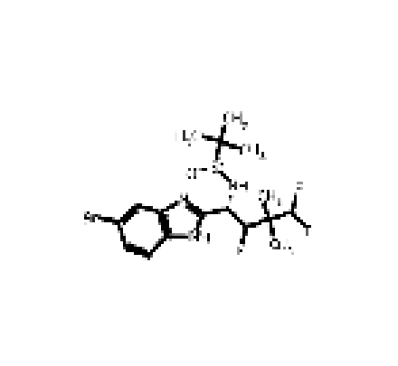 CC(C)(C(F)F)C(F)[C@@H](N[S@+]([O-])C(C)(C)C)c1nc2cc(Br)ccc2[nH]1